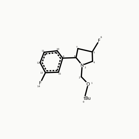 CC(C)(C)OCN1CC(F)CC1c1cccc(F)c1